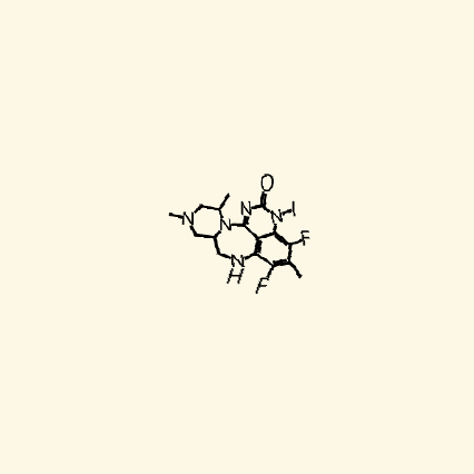 Cc1c(F)c2c3c(nc(=O)n(I)c3c1F)N1C(C)CN(C)CC1CN2